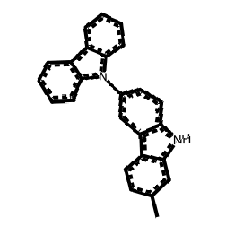 Cc1ccc2c(c1)[nH]c1ccc(-n3c4ccccc4c4ccccc43)cc12